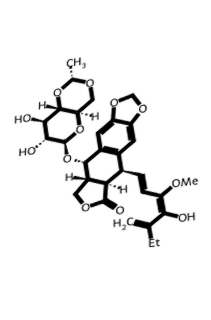 C=C(CC)/C(O)=C(\C=C\[C@@H]1c2cc3c(cc2[C@@H](O[C@@H]2O[C@@H]4CO[C@@H](C)O[C@H]4[C@H](O)[C@H]2O)[C@H]2COC(=O)[C@@H]21)OCO3)OC